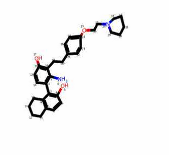 Nc1c(-c2c(O)ccc3c2CCCC3)ccc(O)c1CCc1ccc(OCCN2CCCCC2)cc1